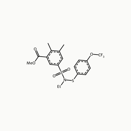 CCN(Sc1ccc(OC(F)(F)F)cc1)S(=O)(=O)c1cc(C)c(C)c(C(=O)OC)c1